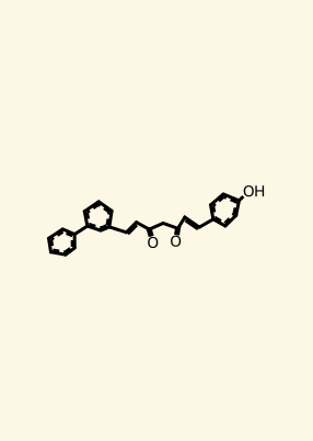 O=C(/C=C/c1ccc(O)cc1)CC(=O)/C=C/c1cccc(-c2ccccc2)c1